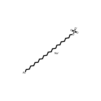 CC(=O)CCCCCCCCCCCCCCCCCCCCCOS(=O)(=O)[O-].[Na+]